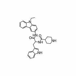 CCn1c2ccccc2c2cc(NC(=O)C(Cc3c[nH]c4ccccc34)NC(=O)C3CCNCC3)ccc21